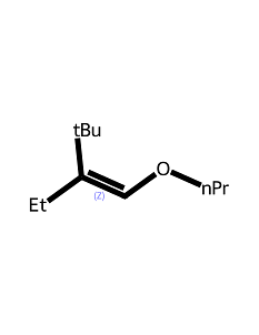 CCCO/C=C(/CC)C(C)(C)C